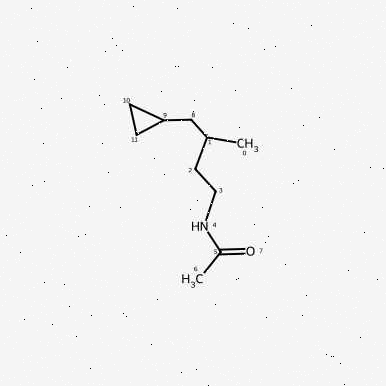 C[C](CCNC(C)=O)CC1CC1